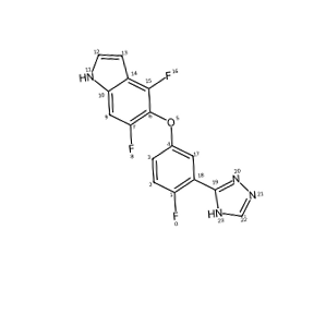 Fc1ccc(Oc2c(F)cc3[nH]ccc3c2F)cc1-c1nn[c][nH]1